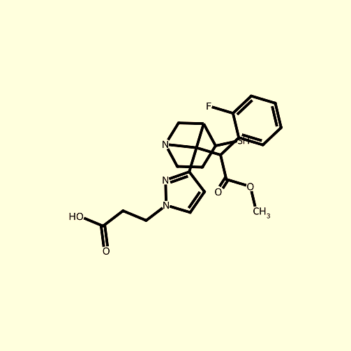 COC(=O)C(c1ccccc1F)C1(c2ccn(CCC(=O)O)n2)C2CN1CCC2S